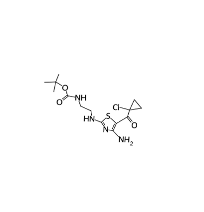 CC(C)(C)OC(=O)NCCNc1nc(N)c(C(=O)C2(Cl)CC2)s1